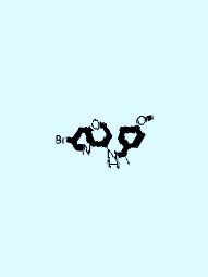 COc1ccc([C@H](C)N[C@H]2CCOc3cc(Br)cnc32)cc1